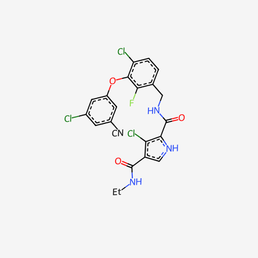 CCNC(=O)c1c[nH]c(C(=O)NCc2ccc(Cl)c(Oc3cc(Cl)cc(C#N)c3)c2F)c1Cl